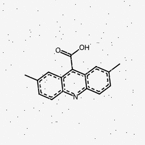 Cc1ccc2nc3ccc(C)cc3c(C(=O)O)c2c1